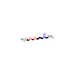 CCNCCCOCOCC